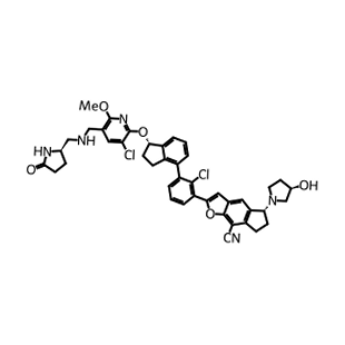 COc1nc(O[C@H]2CCc3c(-c4cccc(-c5cc6cc7c(c(C#N)c6o5)CC[C@H]7N5CC[C@@H](O)C5)c4Cl)cccc32)c(Cl)cc1CNC[C@H]1CCC(=O)N1